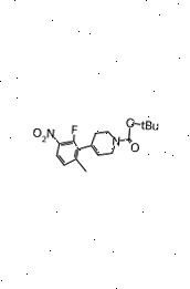 Cc1ccc([N+](=O)[O-])c(F)c1C1=CCN(C(=O)OC(C)(C)C)CC1